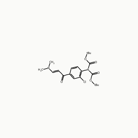 CN(C)C=CC(=O)c1ccc(N(C(=O)OC(C)(C)C)C(=O)OC(C)(C)C)c(Cl)c1